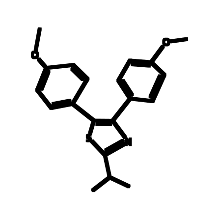 COc1ccc(-c2nc(C(C)C)sc2-c2ccc(OC)cc2)cc1